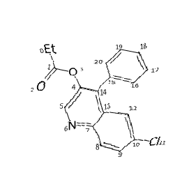 CCC(=O)Oc1cnc2ccc(Cl)cc2c1-c1ccccc1